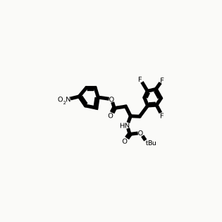 CC(C)(C)OC(=O)NC(CC(=O)Oc1ccc([N+](=O)[O-])cc1)Cc1cc(F)c(F)cc1F